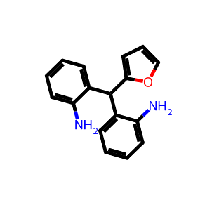 Nc1ccccc1C(c1ccco1)c1ccccc1N